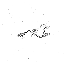 CC[C@@H](O)C(C)(/C=C/C=C\C[C@@H](O)C(C)(/C=C/C=C/C=C\C(C)(CC)[C@@H](O)CCCC(=O)O)CC)CC